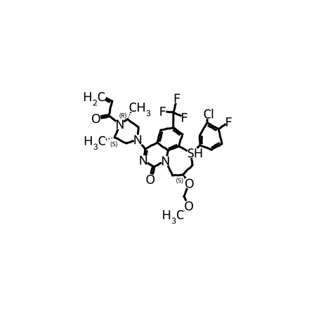 C=CC(=O)N1[C@H](C)CN(c2nc(=O)n3c4c(cc(C(F)(F)F)cc24)[SH](c2ccc(F)c(Cl)c2)C[C@@H](OCOC)C3)C[C@@H]1C